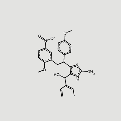 C=C/C(=C\C)C(O)c1[nH]c(N)nc1C(Cc1cc([N+](=O)[O-])ccc1OC)c1ccc(OC)cc1